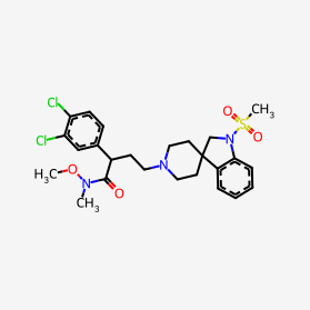 CON(C)C(=O)C(CCN1CCC2(CC1)CN(S(C)(=O)=O)c1ccccc12)c1ccc(Cl)c(Cl)c1